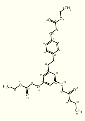 CCOC(=O)COc1ccc(CCc2cc(OCC(=O)OCC)cc(OCC(=O)OCC)c2)cc1